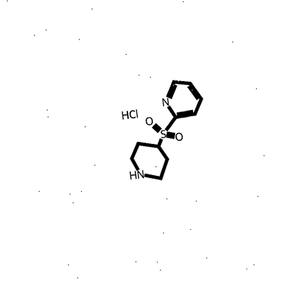 Cl.O=S(=O)(c1ccccn1)C1CCNCC1